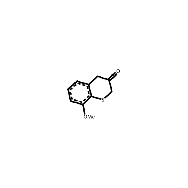 COc1cccc2c1SCC(=O)C2